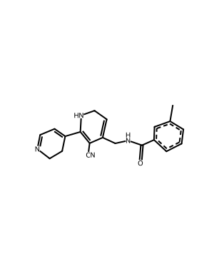 Cc1cccc(C(=O)NCC2=CCNC(C3=CC=NCC3)=C2C#N)c1